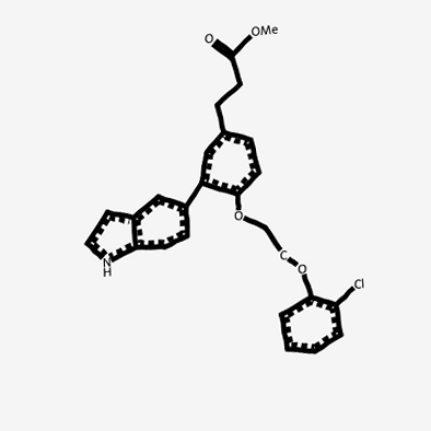 COC(=O)CCc1ccc(OCCOc2ccccc2Cl)c(-c2ccc3[nH]ccc3c2)c1